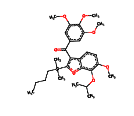 CCCC[Si](C)(C)c1oc2c(OC(C)C)c(OC)ccc2c1C(=O)c1cc(OC)c(OC)c(OC)c1